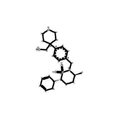 C[C@H]1CC[C@H](C2C=CC=CC2)S(=O)(=O)N1Cc1ccc(C2(CO)CCOCC2)cc1